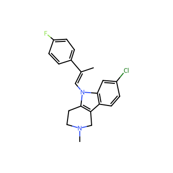 CC(=Cn1c2c(c3ccc(Cl)cc31)CN(C)CC2)c1ccc(F)cc1